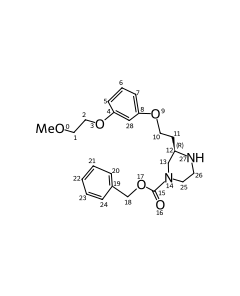 COCCOc1cccc(OCC[C@@H]2CN(C(=O)OCc3ccccc3)CCN2)c1